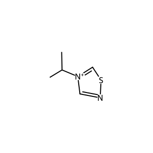 CC(C)[n+]1cnsc1